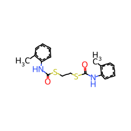 Cc1ccccc1NC(=O)SCCSC(=O)Nc1ccccc1C